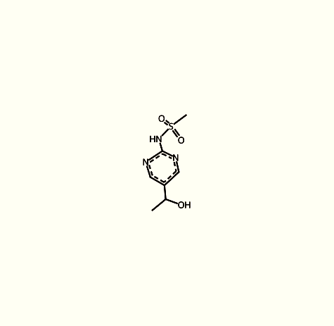 CC(O)c1cnc(NS(C)(=O)=O)nc1